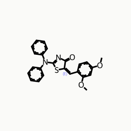 COc1ccc(/C=C2/SC(N(c3ccccc3)c3ccccc3)=NC2=O)c(OC)c1